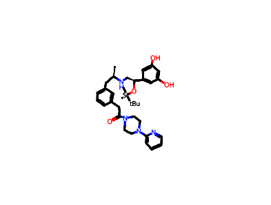 C[C@H](Cc1cccc(CC(=O)N2CCN(c3ccccn3)CC2)c1)NC[C@H](O[Si](C)(C)C(C)(C)C)c1cc(O)cc(O)c1